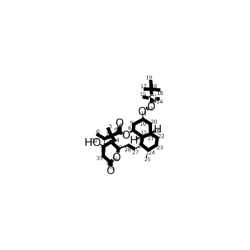 CCC(C)(C)C(=O)O[C@H]1C[C@H](OO[Si](C)(C)C(C)(C)C)C[C@@H]2CC[C@H](C)[C@H](CC[C@@H]3C[C@@H](O)CC(=O)O3)[C@H]21